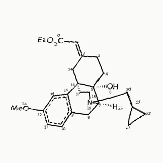 CCOC(=O)/C=C1/CC[C@@]2(O)[C@H]3Cc4ccc(OC)cc4[C@@]2(CCN3CC2CC2)C1